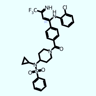 N=C(/C=C(\Nc1ccccc1Cl)c1ccc(C(=O)N2CCC(N(C3CC3)S(=O)(=O)c3ccccc3)CC2)cc1)C(F)(F)F